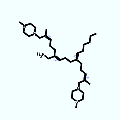 BC/C(=C/CC/C(=C/CCCCC)CC/C=C(/C)CN1CCN(C)CC1)CC/C=C(/C)CN1CCN(C)CC1